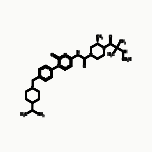 CC(N)C1CCN(Cc2ccc(-n3ccc(NC(=O)N4CCN(C(=O)C(C)(C)NC(=O)O)[C@H](C)C4)nc3=O)cc2)CC1